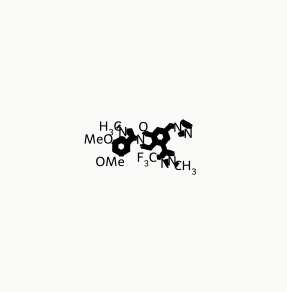 COc1cc(OC)c2c(c1)c(N1CCc3c(cc(Cn4ccnc4)cc3-c3cn(C)nc3C(F)(F)F)C1=O)cn2C